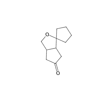 O=C1CC2COC3(CCCC3)C2C1